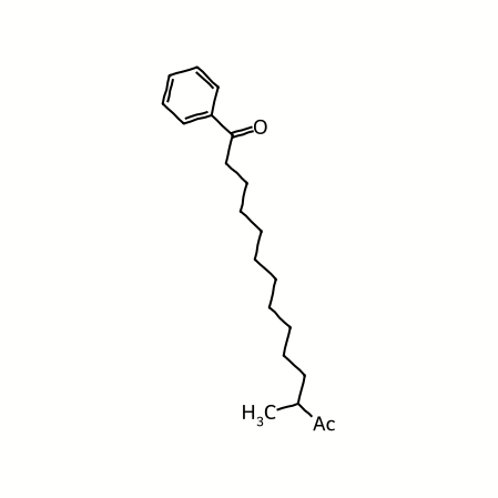 CC(=O)C(C)CCCCCCCCCCC(=O)c1ccccc1